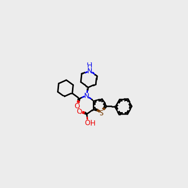 O=C(O)c1sc(-c2ccccc2)cc1N(C(=O)C1CCCCC1)C1CCNCC1